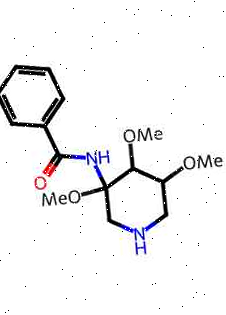 COC1CNCC(NC(=O)c2ccccc2)(OC)C1OC